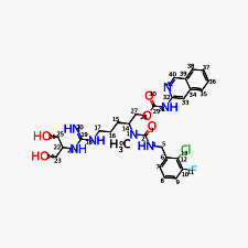 CN(C(=O)NCc1cccc(F)c1Cl)[C@@H](CCCNC(=N)NC(CO)CO)COC(=O)Nc1cc2ccccc2cn1